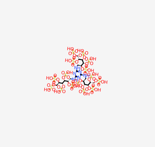 O=S(=O)(O)OC[C@@H](OS(=O)(=O)O)[C@@H](OS(=O)(=O)O)[C@H](OS(=O)(=O)O)[C@H](CNc1nc(NC[C@H](OS(=O)(=O)O)[C@@H](OS(=O)(=O)O)[C@H](OS(=O)(=O)O)[C@@H](COS(=O)(=O)O)OS(=O)(=O)O)nc(NC[C@H](OS(=O)(=O)O)[C@@H](OS(=O)(=O)O)[C@H](OS(=O)(=O)O)[C@@H](COS(=O)(=O)O)OS(=O)(=O)O)n1)OS(=O)(=O)O